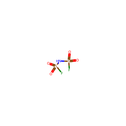 O=S(=O)(F)NS(=O)(=O)F